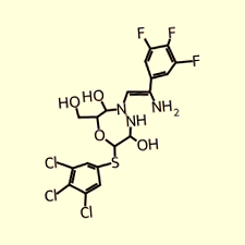 N/C(=C\N1NC(O)C(Sc2cc(Cl)c(Cl)c(Cl)c2)OC(CO)C1O)c1cc(F)c(F)c(F)c1